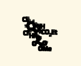 CCOC(=O)c1[nH]c2cc(Cl)cc(Cl)c2c1NOC(=O)C(=O)OC